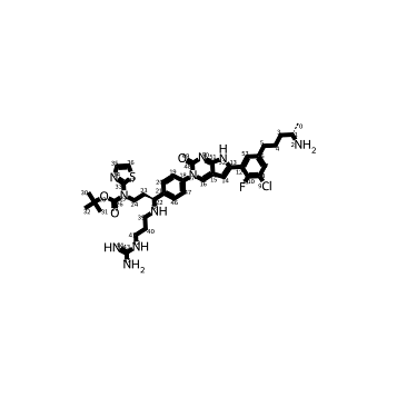 C[C@H](N)CCCc1cc(Cl)c(F)c(-c2cc3cn(-c4ccc([C@H](CCN(C(=O)OC(C)(C)C)c5nccs5)NCCCNC(=N)N)cc4)c(=O)nc3[nH]2)c1